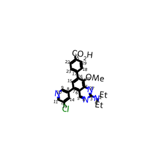 CCN(CC)c1ncc2c(-c3cncc(Cl)c3)cc(-c3ccc(C(=O)O)cc3)c(OC)c2n1